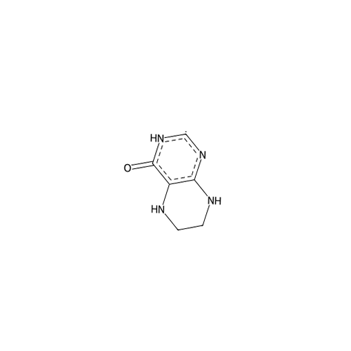 O=c1[nH][c]nc2c1NCCN2